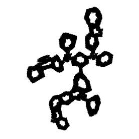 c1ccc(N(c2cc(-c3ccc4c(c3)c3cc5ccc6sc7ccccc7c6c5cc3n4-c3ccccc3)cc(N(c3ccccc3)c3ccc4c(c3)sc3ccccc34)c2)c2ccc3c(c2)sc2ccccc23)cc1